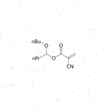 C=C(C#N)C(=O)OC(CCC)OCCCC